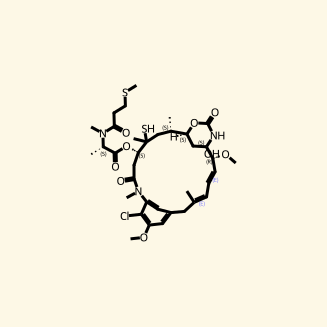 COc1cc2cc(c1Cl)N(C)C(=O)C[C@H](OC(=O)[C@H](C)N(C)C(=O)CCSC)C(C)(S)C[C@H](C)[C@@H]1C[C@@](O)(NC(=O)O1)[C@H](OC)/C=C/C=C(\C)C2